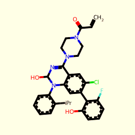 C=CC(=O)N1CCN(C2=NC(O)N(c3ccccc3C(C)C)c3cc(-c4c(O)cccc4F)c(Cl)cc32)CC1